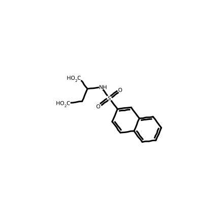 O=C(O)CC(NS(=O)(=O)c1ccc2ccccc2c1)C(=O)O